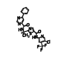 C[C@@H](NC(=O)c1cc(-c2ccccc2)ncn1)c1ncc(C(=O)Nc2cc(C(F)(F)F)c(Cl)cn2)s1